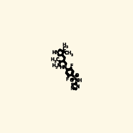 CC(N)C(CNc1cc(F)c(S(=O)(=O)Nc2ncns2)cc1F)CC1CNCC1(C)C